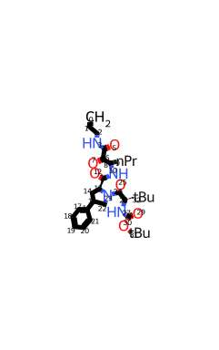 C=CCNC(=O)C(=O)C(CCC)NC(=O)[C@@H]1CC(c2ccccc2)CN1C(=O)[C@@H](NC(=O)OC(C)(C)C)C(C)(C)C